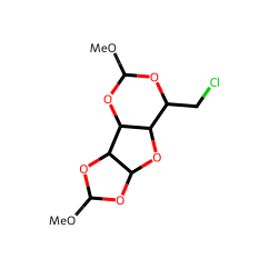 COC1OC2OC3C(CCl)OC(OC)OC3C2O1